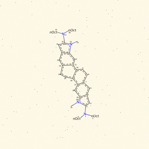 CCCCCCCCN(CCCCCCCC)c1cc2cc3ccc4c5cc6c(cc(N(CCCCCCCC)CCCCCCCC)n6C)cc5ccc4c3cc2n1C